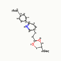 CCCCCCCCCCC1COC(CCc2ccc(-c3ccc(CCCCCCCCC)cc3)nc2)OC1